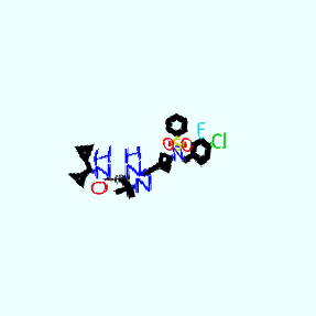 CC1(C)N=C(C23CC(N(Cc4ccc(Cl)c(F)c4)S(=O)(=O)c4ccccc4)(C2)C3)N[C@H]1C(=O)NC(C1CC1)C1CC1